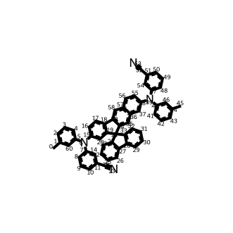 Cc1cccc(N(c2cccc(C#N)c2)c2ccc3c(c2)C2(c4ccccc4-c4ccccc42)c2cc4cc(N(c5cccc(C)c5)c5cccc(C#N)c5)ccc4cc2-3)c1